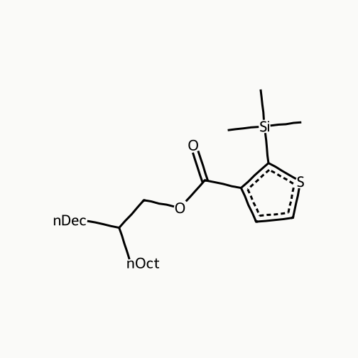 CCCCCCCCCCC(CCCCCCCC)COC(=O)c1ccsc1[Si](C)(C)C